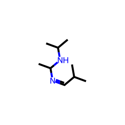 CC(C)/C=N\C(C)NC(C)C